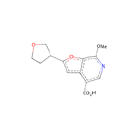 COc1ncc(C(=O)O)c2cc(C3CCOC3)oc12